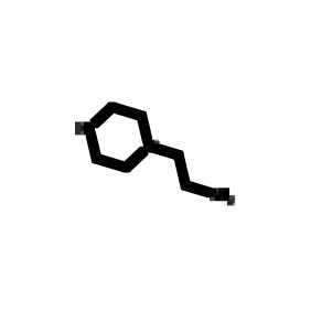 NCC[N+]1CCNCC1